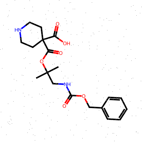 CC(C)(CNC(=O)OCc1ccccc1)OC(=O)C1(C(=O)O)CCNCC1